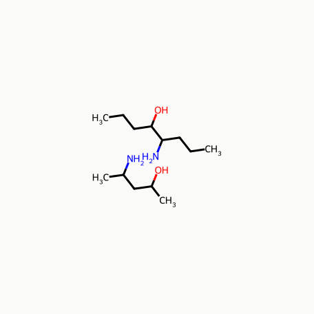 CC(N)CC(C)O.CCCC(N)C(O)CCC